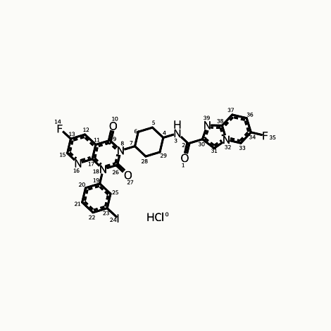 Cl.O=C(NC1CCC(n2c(=O)c3cc(F)cnc3n(-c3cccc(I)c3)c2=O)CC1)c1cn2cc(F)ccc2n1